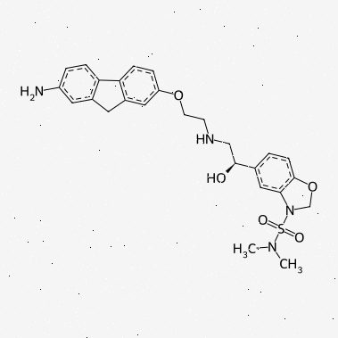 CN(C)S(=O)(=O)N1COc2ccc([C@@H](O)CNCCOc3ccc4c(c3)Cc3cc(N)ccc3-4)cc21